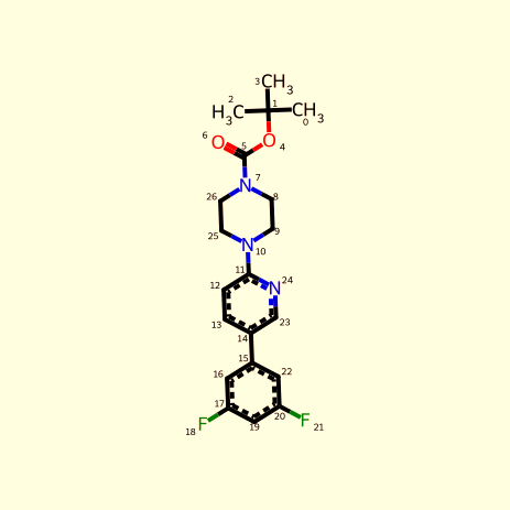 CC(C)(C)OC(=O)N1CCN(c2ccc(-c3cc(F)cc(F)c3)cn2)CC1